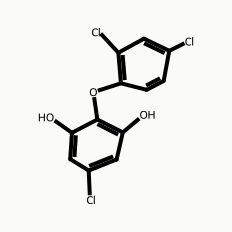 Oc1cc(Cl)cc(O)c1Oc1ccc(Cl)cc1Cl